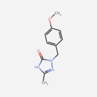 COc1ccc(Cn2nc(C)[nH]c2=O)cc1